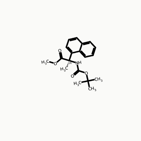 COC(=O)[C@](C)(NC(=O)OC(C)(C)C)c1cccc2ccccc12